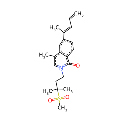 C=C/C=C(\C)c1ccc2c(=O)n(CCC(C)(C)S(C)(=O)=O)cc(C)c2c1